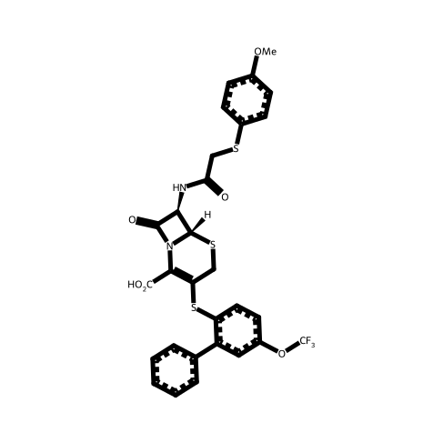 COc1ccc(SCC(=O)N[C@@H]2C(=O)N3C(C(=O)O)=C(Sc4ccc(OC(F)(F)F)cc4-c4ccccc4)CS[C@@H]23)cc1